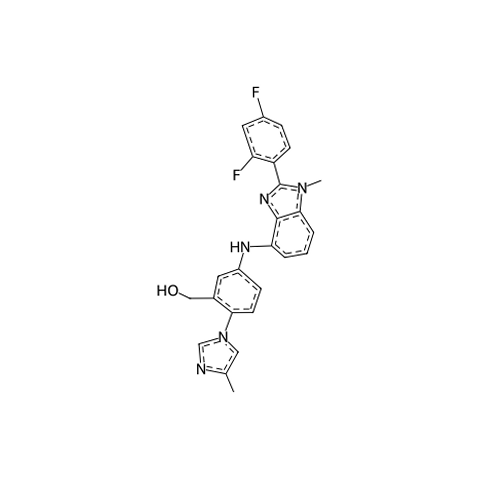 Cc1cn(-c2ccc(Nc3cccc4c3nc(-c3ccc(F)cc3F)n4C)cc2CO)cn1